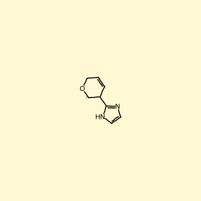 [C]1OCC=CC1c1ncc[nH]1